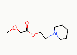 COCC(=O)OCCN1CCCCC1